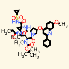 C=CC(=O)NCC[C@@H](C(=O)N1C[C@H](Oc2cc(-c3ccccc3)nc3cc(OC)ccc23)C[C@H]1C(=O)N[C@]1(C(=O)NS(=O)(=O)C2CC2)C[C@H]1C=C)N(C)C(=O)OC(C)(C)C